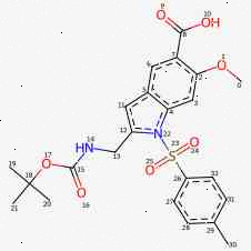 COc1cc2c(cc1C(=O)O)cc(CNC(=O)OC(C)(C)C)n2S(=O)(=O)c1ccc(C)cc1